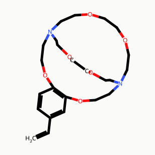 C=Cc1ccc2c(c1)OCCN1CCOCCOCCN(CCOCCOCC1)CCO2